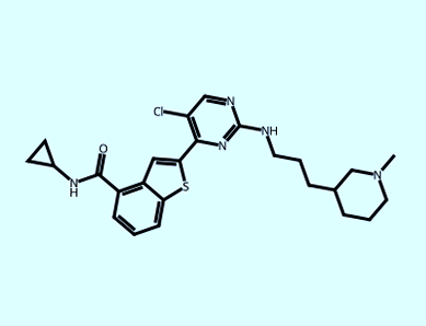 CN1CCCC(CCCNc2ncc(Cl)c(-c3cc4c(C(=O)NC5CC5)cccc4s3)n2)C1